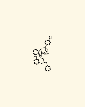 N=c1n(CC(=O)c2ccc(Cl)cc2)c2cccc(Cl)c2n1CCN(Cc1ccccc1)Cc1ccccc1